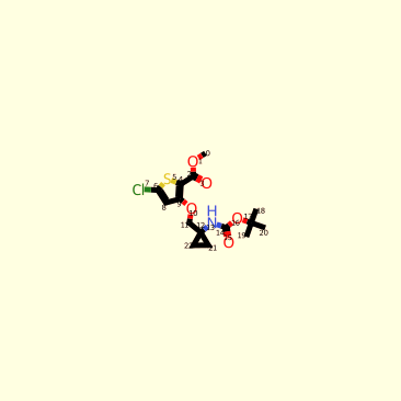 COC(=O)c1sc(Cl)cc1OCC1(NC(=O)OC(C)(C)C)CC1